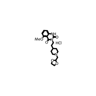 COc1cccc2[nH]c(=O)n(CCC3CCN(CC4OCCO4)CC3)c(=O)c12.Cl